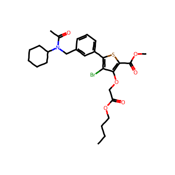 CCCCOC(=O)COc1c(C(=O)OC)sc(-c2cccc(CN(C(C)=O)C3CCCCC3)c2)c1Br